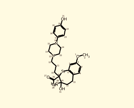 COc1ccc2c(c1)SC(CCCN1CCN(c3ccc(O)cc3)CC1)(C(=O)O)C(C)(O)CC2